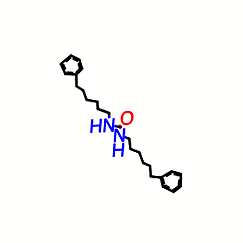 O=C(NCCCCCCc1ccccc1)NCCCCCCc1ccccc1